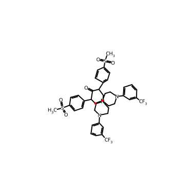 CS(=O)(=O)c1ccc(C(CN2CCN(c3cccc(C(F)(F)F)c3)CC2)C(=O)C(CN2CCN(c3cccc(C(F)(F)F)c3)CC2)c2ccc(S(C)(=O)=O)cc2)cc1